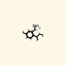 CCC(C)c1ccc(C)cc1CN